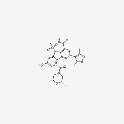 Cc1noc(C)c1-c1cc(C(N)=O)c2c(c1)c1c(C(=O)N3C[C@@H](C)O[C@@H](C)C3)cc(C(F)(F)F)cc1n2S(C)(=O)=O